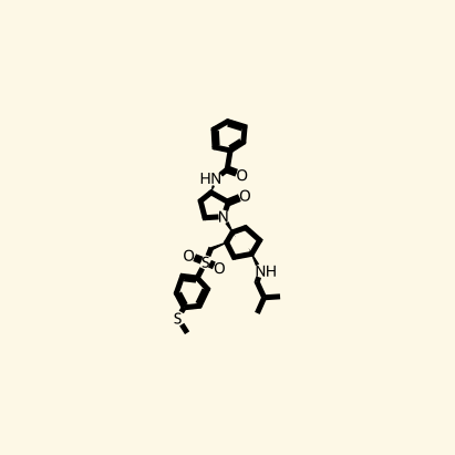 CSc1ccc(S(=O)(=O)C[C@@H]2C[C@H](NCC(C)C)CC[C@@H]2N2CC[C@H](NC(=O)c3ccccc3)C2=O)cc1